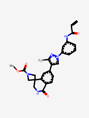 C=CC(=O)Nc1cccc(-n2cc(-c3ccc4c(c3)C3(CNC4=O)CN(C(=O)OC(C)(C)C)C3)c([N+](=O)[O-])n2)c1